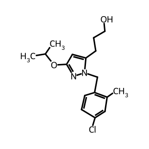 Cc1cc(Cl)ccc1Cn1nc(OC(C)C)cc1CCCO